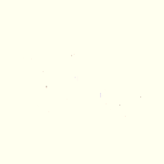 O=C(CNCC1(O)CCCCC1)N1CCc2ccc(Cl)cc2C1C1CCCCC1